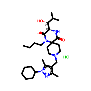 CCCCN1C(=O)[C@@H]([C@H](O)C(C)C)NC(=O)C12CCN(Cc1c(C)nn(C3CCCCC3)c1C)CC2.Cl